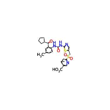 Cc1ccc(NC(=O)Nc2ncc(CS(=O)(=O)c3ccc(C(=O)O)cn3)s2)c(C(=O)C2CCCC2)c1